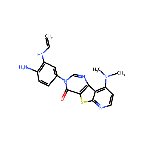 C=CNc1cc(-n2cnc3c(sc4nccc(N(C)C)c43)c2=O)ccc1N